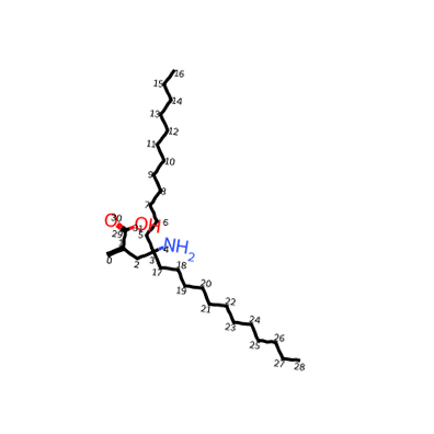 C=C(CC(N)(CCCCCCCCCCCC)CCCCCCCCCCCC)C(=O)O